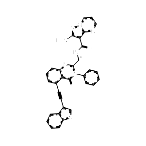 C[C@@H](NC(=O)c1c(N)nn2cccnc12)c1nc2cccc(C#Cc3c[nH]c4ccccc34)c2c(=O)n1-c1ccccc1